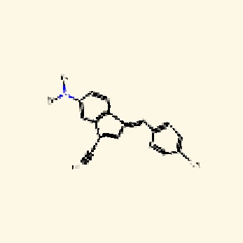 C#CC1=CC(=Cc2ccc(C#N)cc2)c2ccc(N(CC)CC)cc21